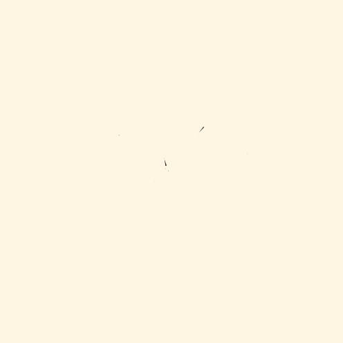 COc1ccccc1C(=S)N[C@H]1[C@H]2OC(C)(C)O[C@H]2O[C@@H]1[C@H]1COC(C)(C)O1